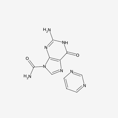 NC(=O)n1cnc2c(=O)[nH]c(N)nc21.c1cncnc1